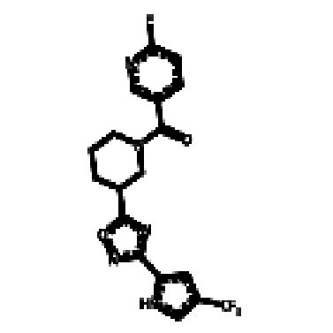 O=C(c1ccc(F)nc1)N1CCCC(c2nc(-c3cc(C(F)(F)F)c[nH]3)no2)C1